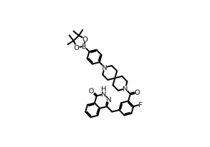 CC1(C)OB(c2ccc(N3CCC4(CCN(C(=O)c5cc(Cc6n[nH]c(=O)c7ccccc67)ccc5F)CC4)CC3)cc2)OC1(C)C